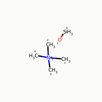 C[N+](C)(C)C.[O-][SiH3]